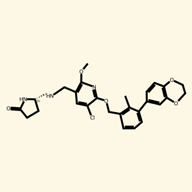 COc1nc(OCc2cccc(-c3ccc4c(c3)OCCO4)c2C)c(Cl)cc1CNC[C@@H]1CCC(=O)N1